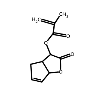 C=C(C)C(=O)OC1C(=O)OC2C=CCC21